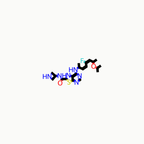 CC(/C=C\C(F)=C/C(C)OC(C)C)Nc1ncnc2sc(C(=O)NC3CNC3)nc12